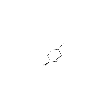 CC1C=C[C@@H](F)CC1